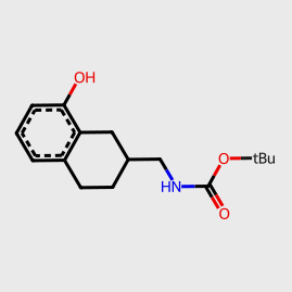 CC(C)(C)OC(=O)NCC1CCc2cccc(O)c2C1